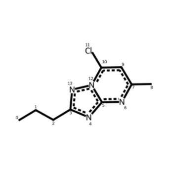 CCCc1nc2nc(C)cc(Cl)n2n1